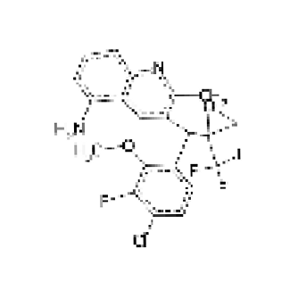 COc1c(C(c2cc3c(N)cccc3nc2C)C2(C(F)(F)F)CO2)ccc(Cl)c1F